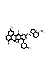 C#Cc1c(F)ccc2cc(O)cc(-c3ncc4c(N5CCCC(C#N)C5)nc(OC[C@]56CCC[C@H]5N(C)CCC6)nc4c3F)c12